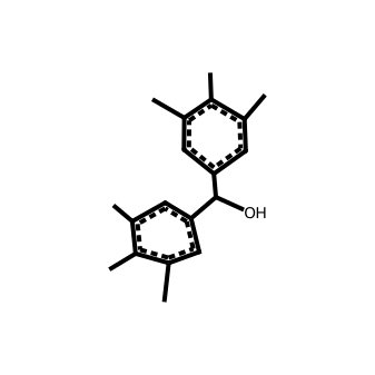 Cc1cc(C(O)c2cc(C)c(C)c(C)c2)cc(C)c1C